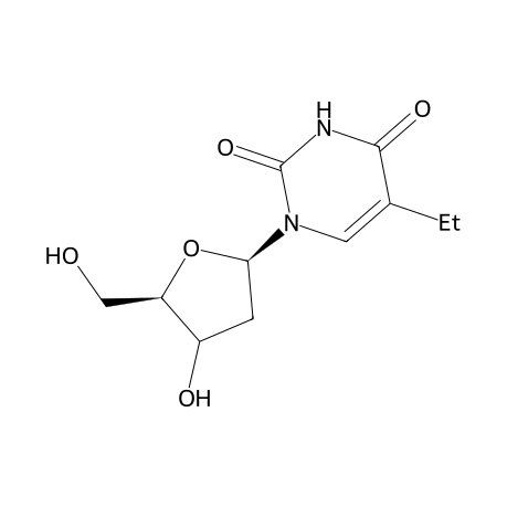 CCc1cn([C@H]2CC(O)[C@@H](CO)O2)c(=O)[nH]c1=O